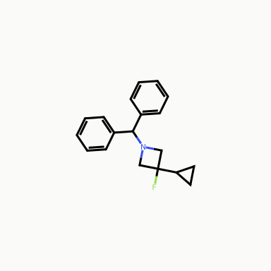 FC1(C2CC2)CN(C(c2ccccc2)c2ccccc2)C1